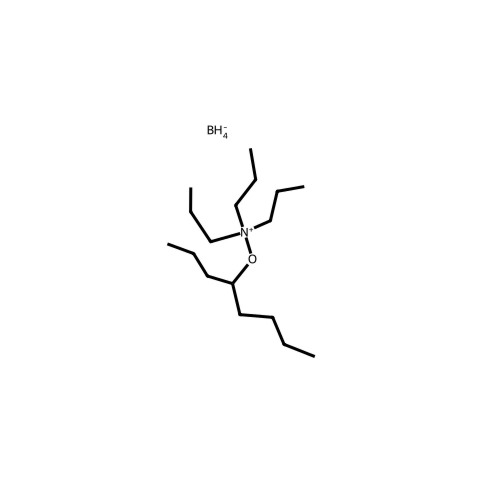 CCCCC(CCC)O[N+](CCC)(CCC)CCC.[BH4-]